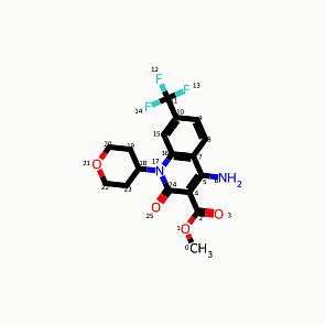 COC(=O)c1c(N)c2ccc(C(F)(F)F)cc2n(C2CCOCC2)c1=O